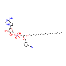 CCCCCCCCCCCCCCCCCOC[C@H](COP(=O)(O)OC[C@H]1O[C@@](C)(c2ccc3c(N)ncnn23)[C@H](O)[C@@H]1O)OCc1cccc(C#N)c1